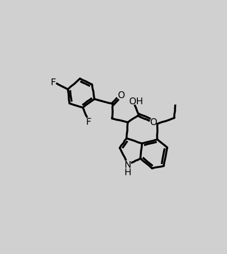 CCCc1cccc2[nH]cc(C(CC(=O)c3ccc(F)cc3F)C(=O)O)c12